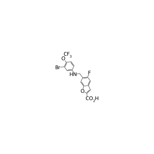 O=C(O)c1cc2cc(F)c(CNc3ccc(OC(F)(F)F)c(Br)c3)cc2o1